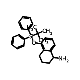 CC(C)(C)[Si](Oc1cccc2c1CCCC2N)(c1ccccc1)c1ccccc1